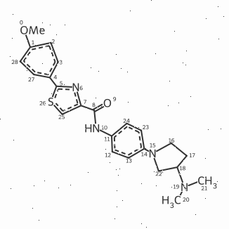 COc1ccc(-c2nc(C(=O)Nc3ccc(N4CCC(N(C)C)C4)cc3)cs2)cc1